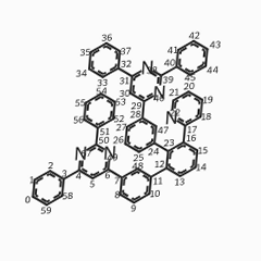 c1ccc(-c2cc(-c3cccc(-c4cccc(-c5ccccn5)c4-c4cccc(-c5cc(-c6ccccc6)nc(-c6ccccc6)n5)c4)c3)nc(-c3ccccc3)n2)cc1